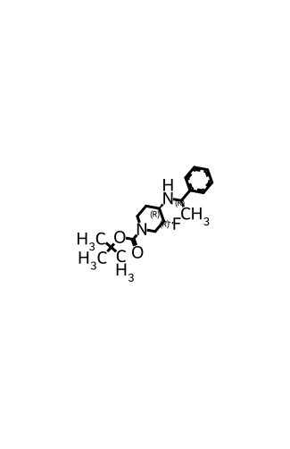 C[C@@H](N[C@@H]1CCN(C(=O)OC(C)(C)C)C[C@H]1F)c1ccccc1